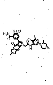 CC1Cc2nc3c(c(-c4cc(Cl)c(O)c(C(N)=O)c4)cn3CC(=O)Nc3cc(N4CCN(C)CC4C)nc(F)c3Cl)c(=O)n2C1